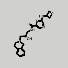 O=C(NC[C@H](O)CN1CCc2ccccc2C1)c1cncc(NC2COC2)n1